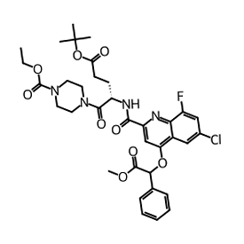 CCOC(=O)N1CCN(C(=O)[C@H](CCC(=O)OC(C)(C)C)NC(=O)c2cc(OC(C(=O)OC)c3ccccc3)c3cc(Cl)cc(F)c3n2)CC1